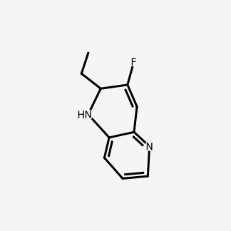 CCC1Nc2cccnc2C=C1F